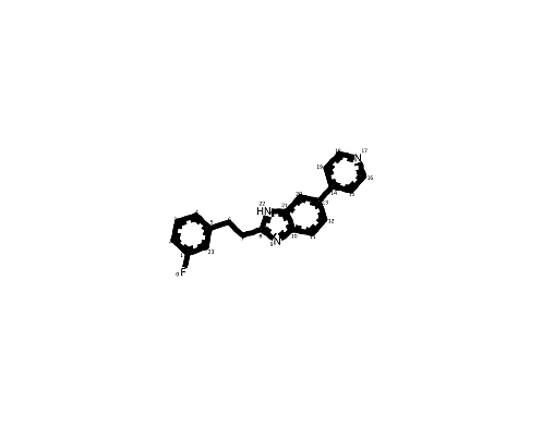 Fc1cccc(CCc2nc3ccc(-c4ccncc4)cc3[nH]2)c1